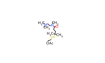 CC(=O)OCCSSC(C)(C)CCC(=O)N(C)CCN(C)C